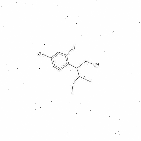 CCC(C)C(CO)c1ccc(Cl)cc1Cl